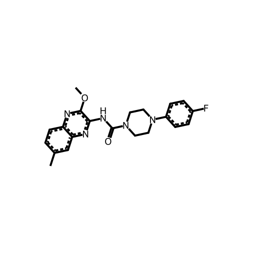 COc1nc2ccc(C)cc2nc1NC(=O)N1CCN(c2ccc(F)cc2)CC1